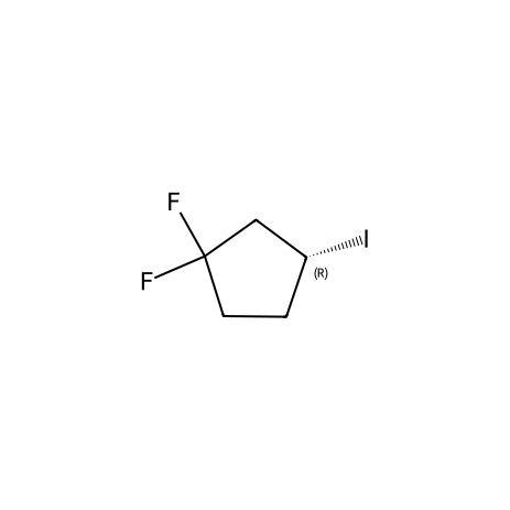 FC1(F)CC[C@@H](I)C1